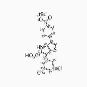 CC(C)(C)OC(=O)N1CC=C(c2csc3c(-c4cc(Cl)cc(Cl)c4)c(C(=O)O)[nH]c23)CC1